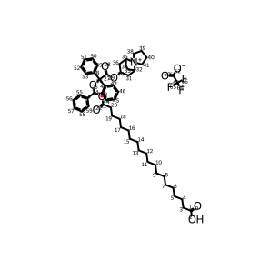 O=C(O)CCCCCCCCCCCCCCCCCCC(=O)OC(OC(C(=O)OC1CC2CCC(C1)[N+]21CCCC1)(c1ccccc1)c1ccccc1)c1ccccc1.O=C([O-])C(F)(F)F